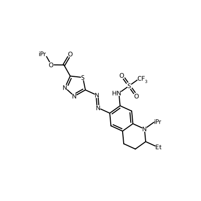 CCC1CCc2cc(N=Nc3nnc(C(=O)OC(C)C)s3)c(NS(=O)(=O)C(F)(F)F)cc2N1C(C)C